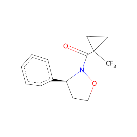 O=C(N1OCC[C@H]1c1ccccc1)C1(C(F)(F)F)CC1